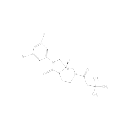 CC(C)(C)OC(=O)N1CCN2C(=O)N(c3cc(F)cc(Br)c3)C[C@@H]2C1